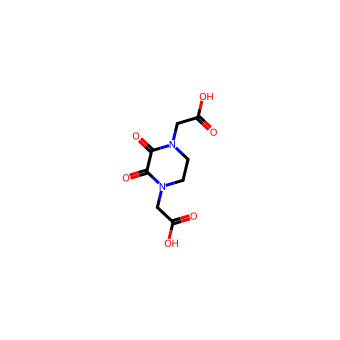 O=C(O)CN1CCN(CC(=O)O)C(=O)C1=O